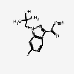 CCCC(C)C(=O)c1nn(CC(C)(C)O)c2cc(F)ccc12